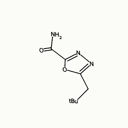 CC(C)(C)Cc1nnc(C(N)=O)o1